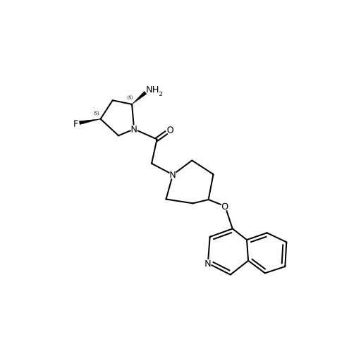 N[C@@H]1C[C@H](F)CN1C(=O)CN1CCC(Oc2cncc3ccccc23)CC1